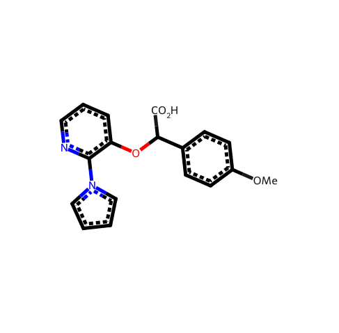 COc1ccc(C(Oc2cccnc2-n2cccc2)C(=O)O)cc1